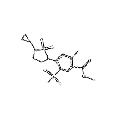 COC(=O)c1cc(S(C)(=O)=O)c(N2CCN(C3CC3)S2(=O)=O)cc1C